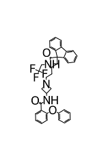 O=C(NC1CN(CCCCC2(C(=O)NCC(F)(F)F)c3ccccc3-c3ccccc32)C1)c1ccccc1Oc1ccccc1